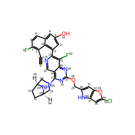 C#Cc1c(F)ccc2cc(O)cc(-c3ncc4c(N5C[C@H]6CC[C@@H](C5)N6)nc(OCc5cc6oc(Cl)cc6[nH]5)nc4c3F)c12